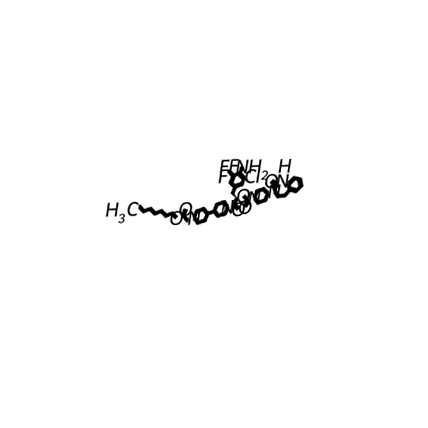 CCCCCCCCOC(=O)CN1CCC(C2CCN(C(=O)[C@@H](Cc3cc(Cl)c(N)c(C(F)(F)F)c3)OC(=O)N3CCC(N4CCc5ccccc5NC4=O)CC3)CC2)CC1